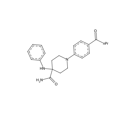 CCCC(=O)c1ccc(N2CCC(Nc3ccccc3)(C(N)=O)CC2)cc1